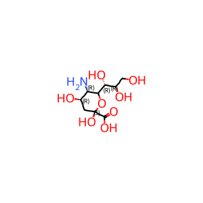 N[C@H]1C([C@H](O)[C@H](O)CO)O[C@](O)(C(=O)O)C[C@H]1O